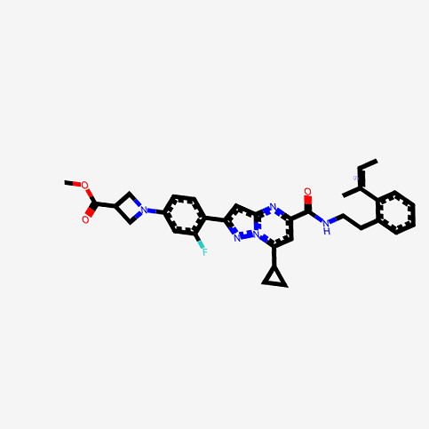 C/C=C(/C)c1ccccc1CCNC(=O)c1cc(C2CC2)n2nc(-c3ccc(N4CC(C(=O)OC)C4)cc3F)cc2n1